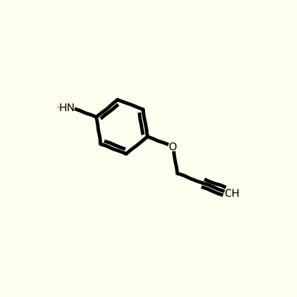 C#CCOc1ccc([NH])cc1